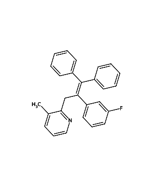 Cc1cccnc1CC(=C(c1ccccc1)c1ccccc1)c1cccc(F)c1